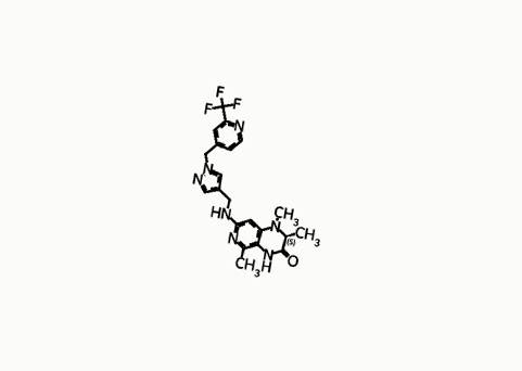 Cc1nc(NCc2cnn(Cc3ccnc(C(F)(F)F)c3)c2)cc2c1NC(=O)[C@H](C)N2C